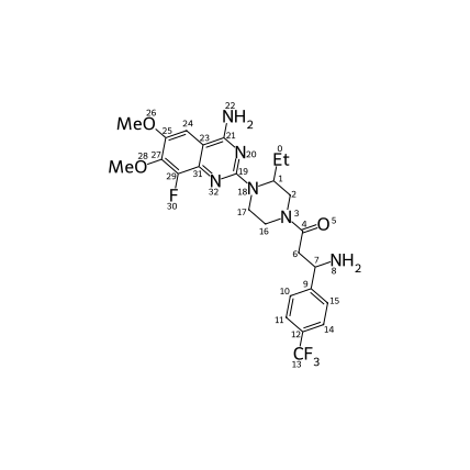 CCC1CN(C(=O)CC(N)c2ccc(C(F)(F)F)cc2)CCN1c1nc(N)c2cc(OC)c(OC)c(F)c2n1